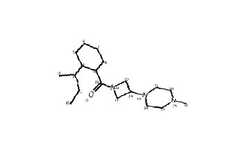 CCC(C)C1CCCCC1C(=O)N1CC(N2CCN(C)CC2)C1